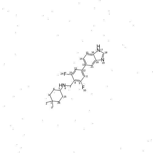 CC1(C)CCC(NCc2c(F)cc(-c3ccc4[nH]cnc4c3)cc2F)CC1